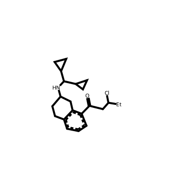 CCC(Cl)CC(=O)c1cccc2c1CC(NC(C1CC1)C1CC1)CC2